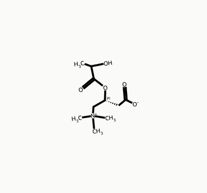 CC(O)C(=O)O[C@H](CC(=O)[O-])C[N+](C)(C)C